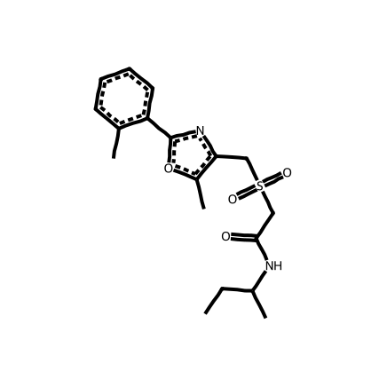 CCC(C)NC(=O)CS(=O)(=O)Cc1nc(-c2ccccc2C)oc1C